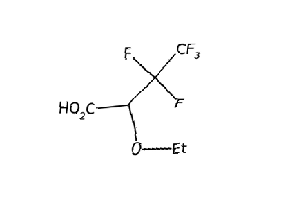 CCOC(C(=O)O)C(F)(F)C(F)(F)F